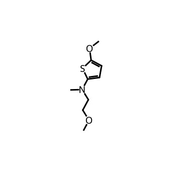 COCCN(C)c1ccc(OC)s1